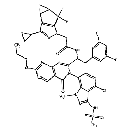 Cn1nc(NS(C)(=O)=O)c2c(Cl)ccc(-n3c(C(Cc4cc(F)cc(F)c4)NC(=O)Cn4nc(C5CC5)c5c4C(F)(F)C4CC54)nc4nc(OCCC(F)(F)F)ccc4c3=O)c21